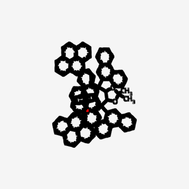 CC1(C)OC(C(OCc2cc3cccc4ccc5cccc2c5c43)(c2cc3ccccc3c3ccccc23)c2cc3ccccc3c3ccccc23)C(C(OCc2cc3cccc4ccc5cccc2c5c43)(c2cc3ccccc3c3ccccc23)c2cc3ccccc3c3ccccc23)O1